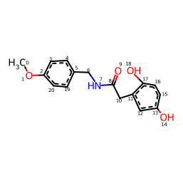 COc1ccc(CNC(=O)Cc2cc(O)ccc2O)cc1